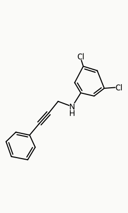 Clc1cc(Cl)cc(NCC#Cc2ccccc2)c1